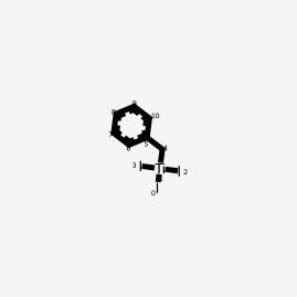 [I][Ti]([I])([I])[CH2]c1ccccc1